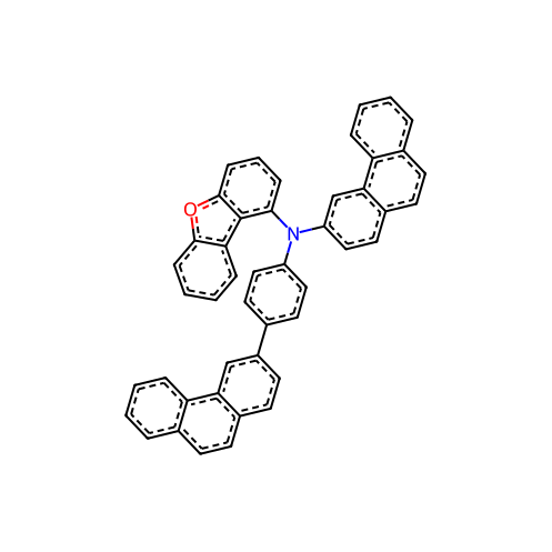 c1ccc2c(c1)ccc1ccc(-c3ccc(N(c4ccc5ccc6ccccc6c5c4)c4cccc5oc6ccccc6c45)cc3)cc12